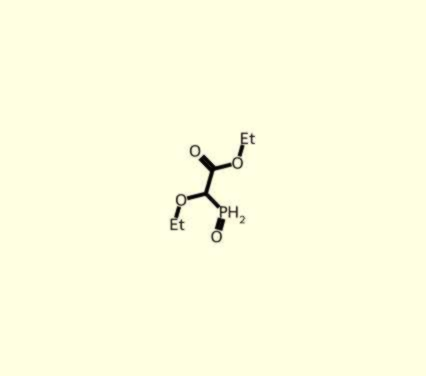 CCOC(=O)C(OCC)[PH2]=O